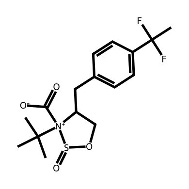 CC(F)(F)c1ccc(CC2COS(=O)[N+]2(C(=O)[O-])C(C)(C)C)cc1